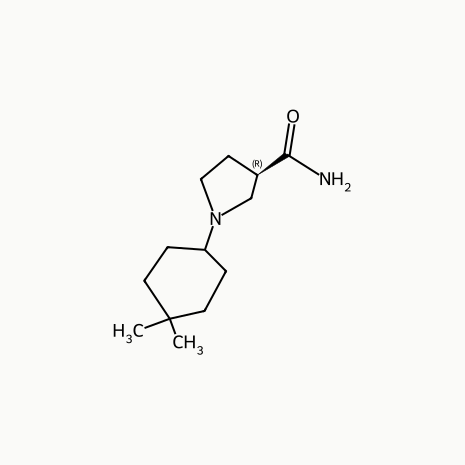 CC1(C)CCC(N2CC[C@@H](C(N)=O)C2)CC1